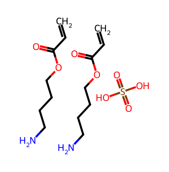 C=CC(=O)OCCCCN.C=CC(=O)OCCCCN.O=S(=O)(O)O